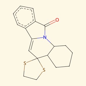 O=C1c2ccccc2C2=CC3(SCCS3)C3CCCCC3N12